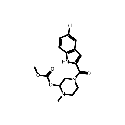 COC(=O)OC1CN(C(=O)c2cc3cc(Cl)ccc3[nH]2)CCN1C